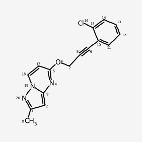 Cc1cc2nc(OCC#Cc3ccccc3Cl)ccn2n1